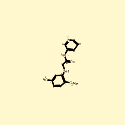 COc1ccc(O)cc1NCC(=O)Nc1cccnc1